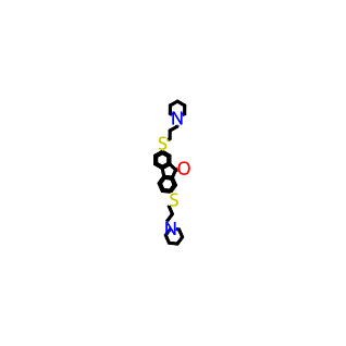 O=C1c2cc(SCCCN3CCCCC3)ccc2-c2ccc(SCCCN3CCCCC3)cc21